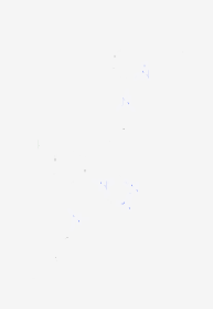 Cc1nc(N2CC3(CC(c4nnc5n4-c4ccc(Cl)cc4CN(C46CC(C(F)(F)F)(C4)C6)C5)C3)C2)ccc1F